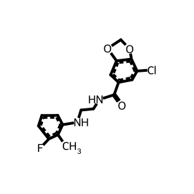 Cc1c(F)cccc1NCCNC(=O)c1cc(Cl)c2c(c1)OCO2